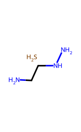 NCCNN.S